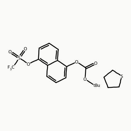 C1CCSC1.CC(C)(C)OC(=O)Oc1cccc2c(OS(=O)(=O)C(F)(F)F)cccc12